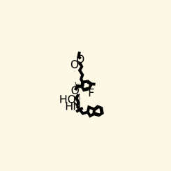 CCOC(=O)CCCCc1cc(C)c(F)cc1[C@@H](C)OC[C@H](O)CNC(C)(C)CC1Cc2ccccc2C1